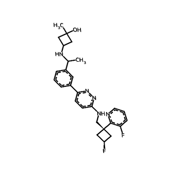 CC(NC1CC(C)(O)C1)c1cccc(-c2ccc(NC[C@]3(c4ncccc4F)C[C@H](F)C3)nn2)c1